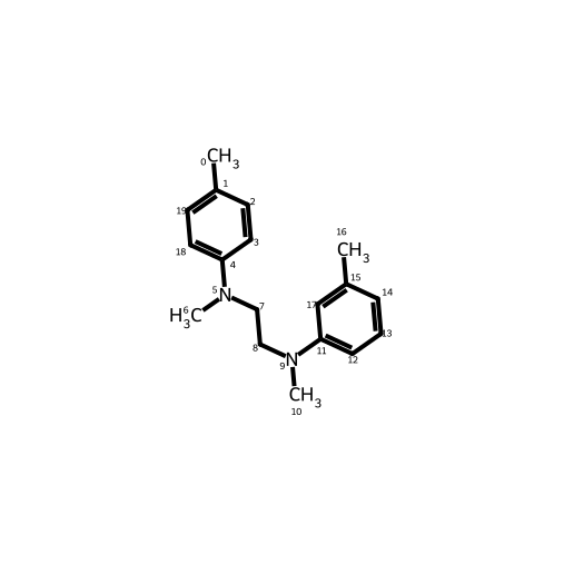 Cc1ccc(N(C)CCN(C)c2cccc(C)c2)cc1